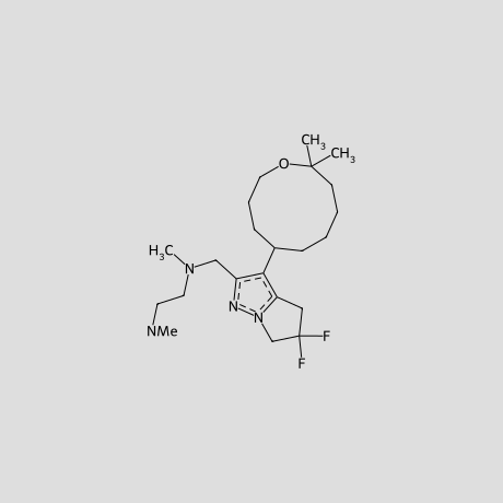 CNCCN(C)Cc1nn2c(c1C1CCCCC(C)(C)OCCC1)CC(F)(F)C2